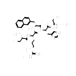 N=C(N)NCCC[C@H](NC(=O)[C@H](N)CS)C(=O)N[C@@H](Cc1ccc2ccccc2c1)C(=O)N[C@@H](Cc1c[nH]cn1)C(=O)N[C@@H](CS)C(=O)O